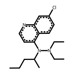 CCCC(C)N(c1ccnc2cc(Cl)ccc12)N(CC)CC